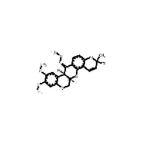 CO/N=C1\c2ccc3c(c2O[C@@H]2COc4cc(OC)c(OC)cc4[C@H]12)C=CC(C)(C)O3